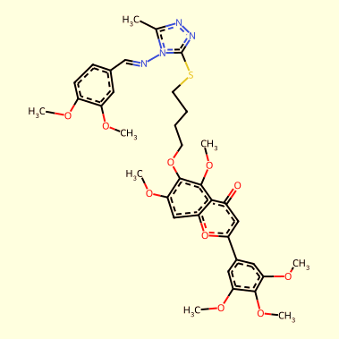 COc1ccc(C=Nn2c(C)nnc2SCCCCOc2c(OC)cc3oc(-c4cc(OC)c(OC)c(OC)c4)cc(=O)c3c2OC)cc1OC